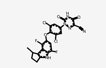 CC1CCc2[nH]c3c(F)cc(Oc4c(Cl)cc(-n5nc(C#N)c(=O)[nH]c5=O)cc4Cl)c(F)c3c21